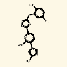 COc1nc(-c2nnc(Nc3cc(C)ccc3C)o2)ccc1-n1cnc(C)c1